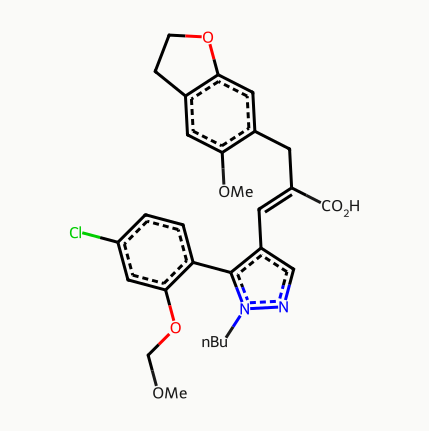 CCCCn1ncc(C=C(Cc2cc3c(cc2OC)CCO3)C(=O)O)c1-c1ccc(Cl)cc1OCOC